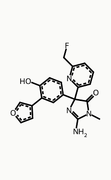 CN1C(=O)C(c2ccc(O)c(-c3ccoc3)c2)(c2cccc(CF)n2)N=C1N